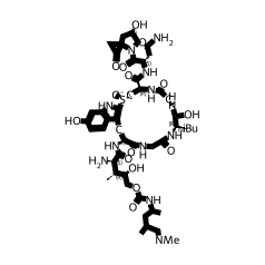 CC[C@H](C)[C@H]1NC(=O)CNC(=O)[C@@H](NC(=O)[C@@H](N)[C@@H](C)[C@@H](O)COC(=O)NC(C)CC(C)CNC)Cc2c([nH]c3cc(O)ccc23)[S+]([O-])C[C@@H](C(=O)N[C@@H](CC(N)=O)C(=O)N2C[C@H](O)CC23CC3=O)NC(=O)CNC1O